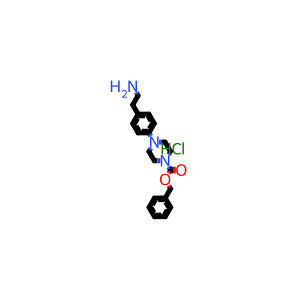 Cl.NCCc1ccc(N2CCN(C(=O)OCc3ccccc3)CC2)cc1